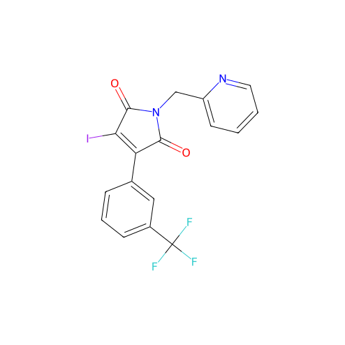 O=C1C(I)=C(c2cccc(C(F)(F)F)c2)C(=O)N1Cc1ccccn1